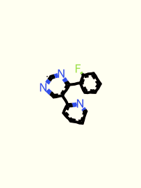 Fc1ccccc1-c1n[c]ncc1-c1ccccn1